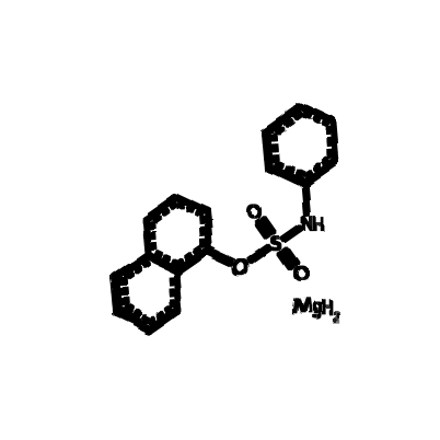 O=S(=O)(Nc1ccccc1)Oc1cccc2ccccc12.[MgH2]